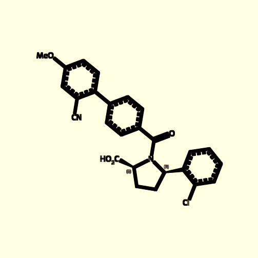 COc1ccc(-c2ccc(C(=O)N3[C@@H](c4ccccc4Cl)CC[C@H]3C(=O)O)cc2)c(C#N)c1